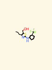 CCCc1nc(Nc2cccc(C(F)(F)F)c2)sc1CO